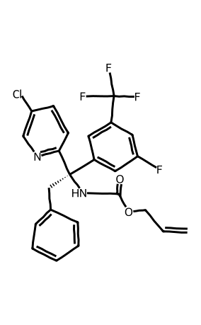 C=CCOC(=O)N[C@](Cc1ccccc1)(c1cc(F)cc(C(F)(F)F)c1)c1ccc(Cl)cn1